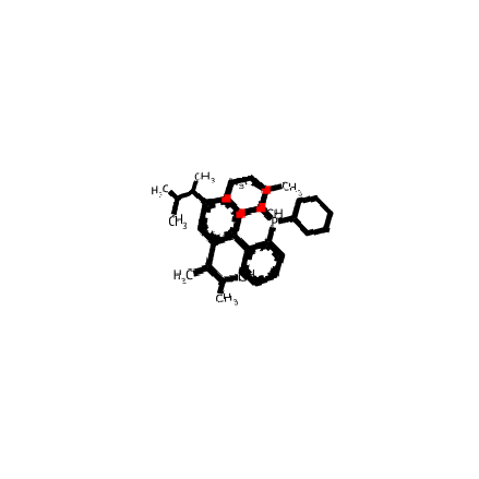 CC(C)C(C)c1cc(C(C)C(C)C)c(-c2ccccc2P(C2CCCCC2)C2CCCCC2)c(C(C)C(C)C)c1